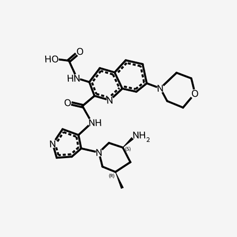 C[C@@H]1C[C@H](N)CN(c2ccncc2NC(=O)c2nc3cc(N4CCOCC4)ccc3cc2NC(=O)O)C1